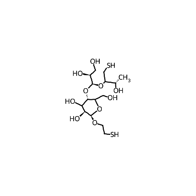 C[C@H](O)C(CS)O[C@@H](O[C@@H]1C(CO)O[C@@H](OCCS)[C@@H](O)C1O)[C@@H](O)CO